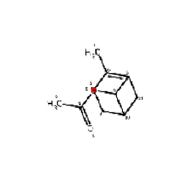 CC(=O)OC1C2=C(C)CCC1C2